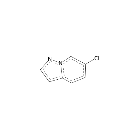 Clc1ccc2ccnn2c1